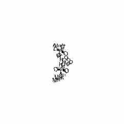 O.O.O.O.O=P([O-])([O-])[O-].O=P([O-])([O-])[O-].[Mn+2].[Mn+2].[Mn+2]